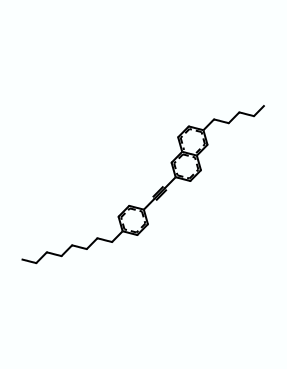 CCCCCCCCc1ccc(C#Cc2ccc3cc(CCCCC)ccc3c2)cc1